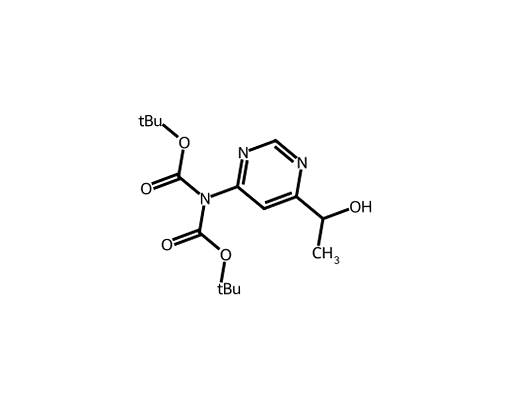 CC(O)c1cc(N(C(=O)OC(C)(C)C)C(=O)OC(C)(C)C)ncn1